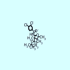 CC[C@H](C)C(C)(C(=O)N[S+]([O-])c1ccc(Cl)c(Cl)c1)C(=O)OC(C)(C)C